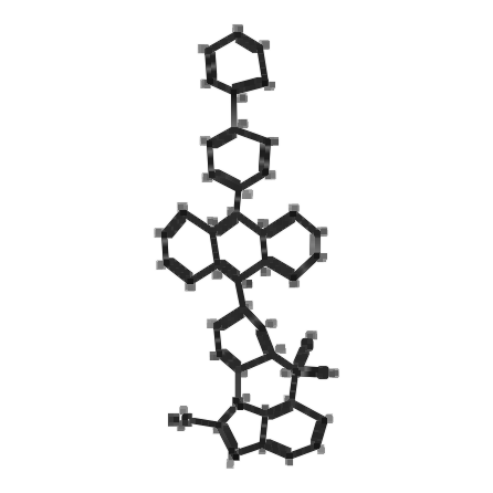 Cc1nc2cccc3c2n1-c1ccc(-c2c4ccccc4c(-c4ccc(-c5ccccc5)cc4)c4ccccc24)cc1S3(=O)=O